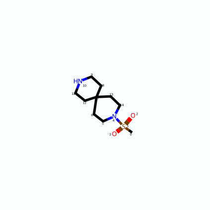 CS(=O)(=O)N1CCC2(CCNCC2)CC1